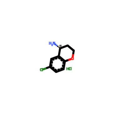 Cl.N[C@@H]1CCOc2ccc(Cl)cc21